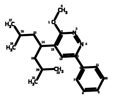 COc1nnc(-c2ccccc2)cc1C(CC(C)C)CC(C)C